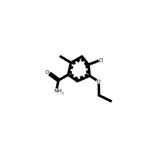 CCOc1cc(C(N)=O)c(C)cc1Cl